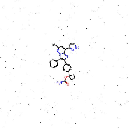 CCc1cc(-c2cc[nH]n2)c2nc(-c3ccc(C4(OC(N)=O)CCC4)cc3)c(-c3ccccc3)n2n1